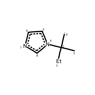 [CH2]C(C)(CC)n1ccnc1